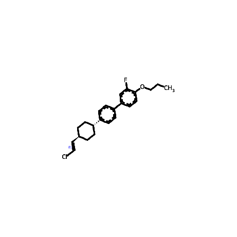 CCCOc1ccc(-c2ccc([C@H]3CC[C@H](/C=C/Cl)CC3)cc2)cc1F